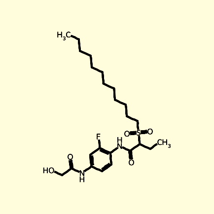 CCCCCCCCCCCCS(=O)(=O)C(CC)C(=O)Nc1ccc(NC(=O)CO)cc1F